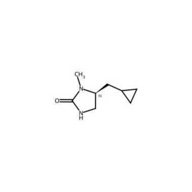 CN1C(=O)NC[C@@H]1CC1CC1